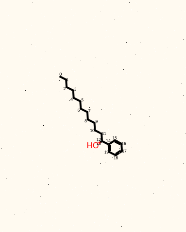 CCCCCCCCCCCCC(O)c1[c]cccc1